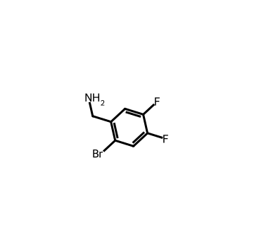 NCc1cc(F)c(F)cc1Br